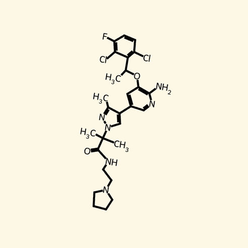 Cc1nn(C(C)(C)C(=O)NCCN2CCCC2)cc1-c1cnc(N)c(OC(C)c2c(Cl)ccc(F)c2Cl)c1